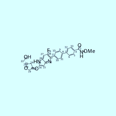 CONC(=O)c1ccc(-c2ccc(-c3nc4cc(O[C@@H]5CO[C@H](CO)C5)[nH]c4cc3F)cc2)cc1